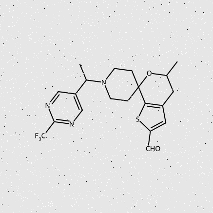 CC1Cc2cc(C=O)sc2C2(CCN(C(C)c3cnc(C(F)(F)F)nc3)CC2)O1